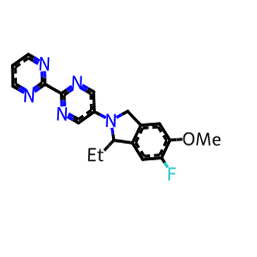 CCC1c2cc(F)c(OC)cc2CN1c1cnc(-c2ncccn2)nc1